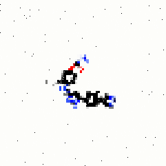 Cc1cc(OC(N)=O)ccc1Nc1cc(-c2ccc(-c3cn[nH]c3)cc2)[nH]n1